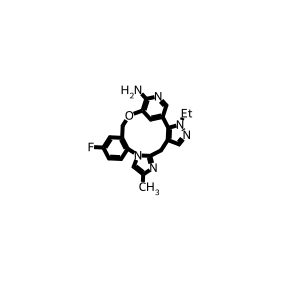 CCn1ncc2c1-c1cnc(N)c(c1)OCc1cc(F)ccc1-n1cc(C)nc1C2